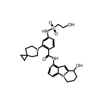 O=C(Nc1cccc2c1cc1n2CCCC1O)c1ccc(NS(=O)(=O)CCO)cc1N1CCC2(CC1)CC2